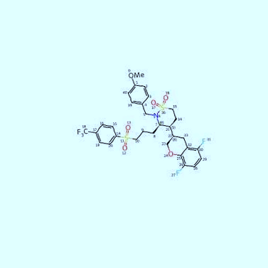 COc1ccc(CN2[C@H](CCCS(=O)(=O)c3ccc(C(F)(F)F)cc3)[C@H]([C@@H]3COc4c(F)ccc(F)c4C3)CCS2(=O)=O)cc1